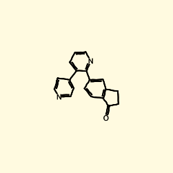 O=C1CCc2cc(-c3ncccc3-c3ccncc3)ccc21